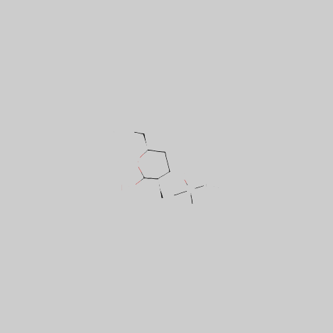 C[C@@H]1[C@H](O[Si](C)(C)C(C)(C)C)[C@@H](C)C(O)O[C@H]1CC=O